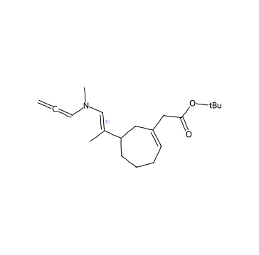 C=C=CN(C)/C=C(\C)C1CCCC=C(CC(=O)OC(C)(C)C)C1